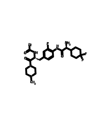 CCC(=O)N[C@H](Cc1ccc(NC(=O)[C@@H](N)C2CCC(F)(F)CC2)c(F)c1)C(=O)N1CCN(C)CC1